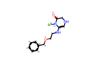 O=C1CNC=C(NCCOCc2ccccc2)N1Br